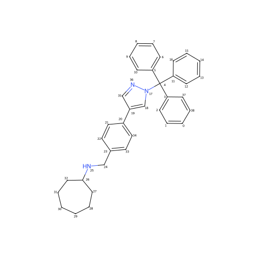 c1ccc(C(c2ccccc2)(c2ccccc2)n2cc(-c3ccc(CNC4CCCCCC4)cc3)cn2)cc1